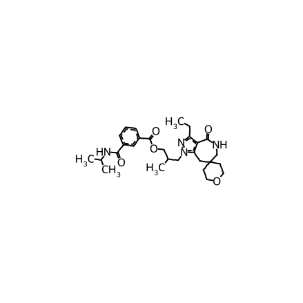 CCc1nn(CC(C)COC(=O)c2cccc(C(=O)NC(C)C)c2)c2c1C(=O)NCC1(CCOCC1)C2